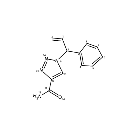 C=CC(c1ccccc1)n1cc(C(N)=O)nn1